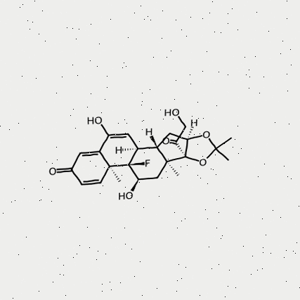 CC1(C)O[C@@H]2C[C@H]3[C@@H]4C=C(O)C5=CC(=O)C=C[C@]5(C)[C@@]4(F)[C@H](O)C[C@]3(C)[C@]2(C(=O)CO)O1